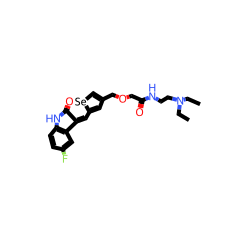 CCN(CC)CCNC(=O)COCc1c[se]c(C=C2C(=O)Nc3ccc(F)cc32)c1